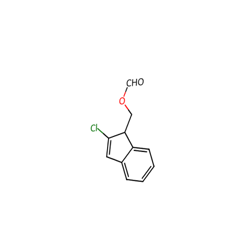 O=COCC1C(Cl)=Cc2ccccc21